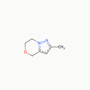 Cc1cc2n(n1)CCOC2